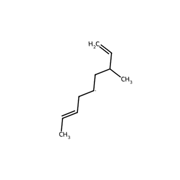 C=CC(C)C[CH]CC=CC